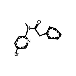 CN(C(=O)Cc1ccccc1)c1ccc(Br)cn1